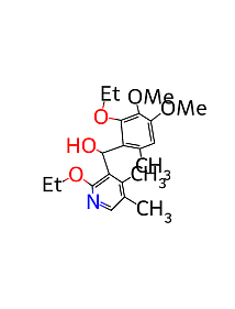 CCOc1ncc(C)c(C)c1C(O)c1c(C)cc(OC)c(OC)c1OCC